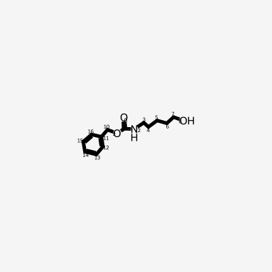 O=C(NCCCCCO)OCc1ccccc1